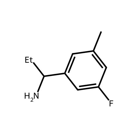 CCC(N)c1cc(C)cc(F)c1